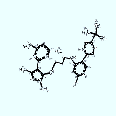 Cc1nn(C)c(OCC[C@H](C)Nc2cc(Cl)ncc2-c2ccc(C(C)(C)O)cn2)c1-c1nccc(N)n1